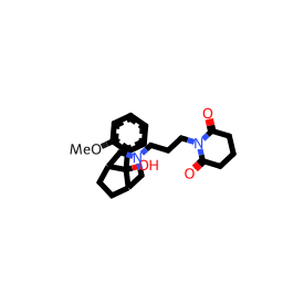 COc1ccccc1C1(O)C2CCC1CN(CCCN1C(=O)CCCC1=O)C2